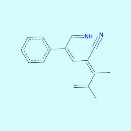 C=C(C)/C(C)=C(C#N)\C=C(/C=N)c1ccccc1